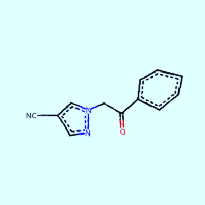 N#Cc1cnn(CC(=O)c2ccccc2)c1